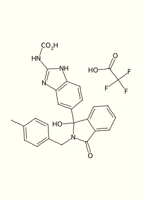 Cc1ccc(CN2C(=O)c3ccccc3C2(O)c2ccc3[nH]c(NC(=O)O)nc3c2)cc1.O=C(O)C(F)(F)F